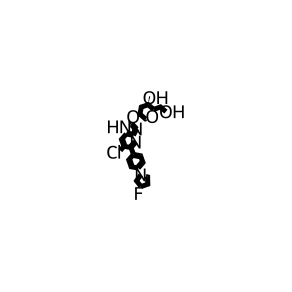 OCC1OC[C@H](Oc2nc3nc(-c4ccc(N5CCC(F)C5)cc4)c(Cl)cc3[nH]2)C[C@@H]1O